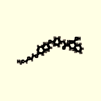 CCOCCOc1ccc2cc(Oc3ccc(CC(=O)NCc4ccccc4C(=O)O)cc3)ccc2c1